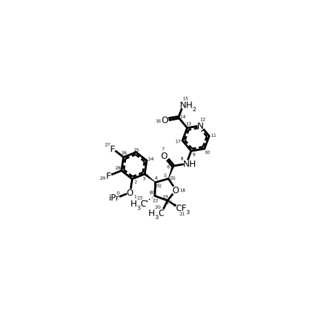 CC(C)Oc1c([C@H]2[C@@H](C(=O)Nc3ccnc(C(N)=O)c3)O[C@@](C)(C(F)(F)F)[C@@H]2C)ccc(F)c1F